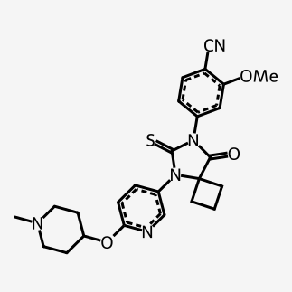 COc1cc(N2C(=O)C3(CCC3)N(c3ccc(OC4CCN(C)CC4)nc3)C2=S)ccc1C#N